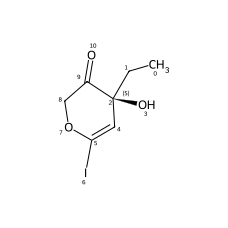 CC[C@]1(O)C=C(I)OCC1=O